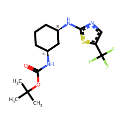 CC(C)(C)OC(=O)N[C@H]1CCC[C@@H](Nc2ncc(C(F)(F)F)s2)C1